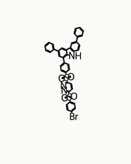 O=S(=O)(c1ccc(Br)cc1)c1ccc(S(=O)(=O)c2ccc(-c3cc(-c4ccccc4)cc4c3[nH]c3ccc(-c5ccccc5)cc34)cc2)nn1